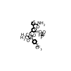 CC1(C)C(=O)N(c2ccc(SC(F)(F)F)cc2)C(=O)N1Cc1ccnc(-c2ccsc2C(N)=O)c1.O=C(O)C(F)(F)F